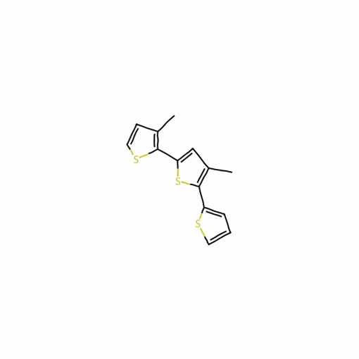 Cc1ccsc1-c1cc(C)c(-c2cccs2)s1